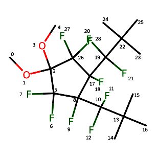 COC1(OC)C(F)(F)C(F)(C(F)(F)C(C)(C)C)C(F)(C(F)(F)C(C)(C)C)C1(F)F